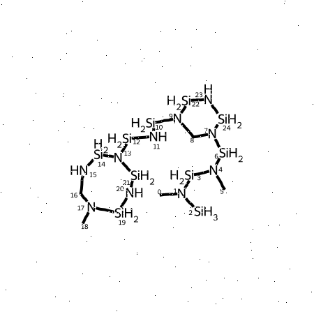 CN([SiH3])[SiH2]N(C)[SiH2]N1CN([SiH2]N[SiH2]N2[SiH2]NCN(C)[SiH2]N[SiH2]2)[SiH2]N[SiH2]1